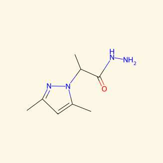 Cc1cc(C)n(C(C)C(=O)NN)n1